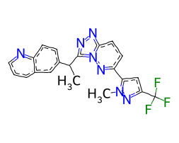 CC(c1ccc2ncccc2c1)c1nnc2ccc(-c3cc(C(F)(F)F)nn3C)nn12